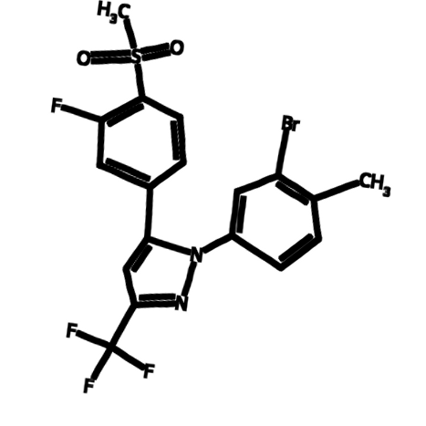 Cc1ccc(-n2nc(C(F)(F)F)cc2-c2ccc(S(C)(=O)=O)c(F)c2)cc1Br